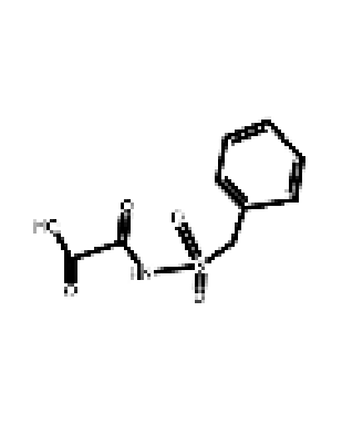 O=C(O)C(=O)NS(=O)(=O)Cc1ccccc1